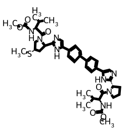 COC(=O)N[C@H](C(=O)N1C[C@@H](SC)CC1c1ncc(-c2ccc(-c3ccc(-c4cnc([C@@H]5CCCN5C(=O)[C@@H](NC(=O)OC)C(C)C)[nH]4)cc3)cc2)[nH]1)C(C)C